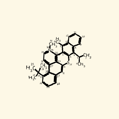 Cc1c2c(c(C(C)C)c3ccccc13)Sc1cc3cccc(C(C)(C)C)c3c3cc[n+](C)c-2c13